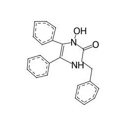 O=C1C(Cc2ccccc2)NC(c2ccccc2)=C(c2ccccc2)N1O